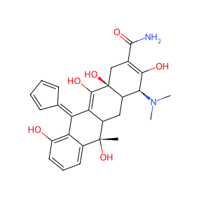 CN(C)[C@@H]1C(O)=C(C(N)=O)C[C@@]2(O)C(O)=C3C(=C4C=CC=C4)c4c(O)cccc4[C@@](C)(O)C3CC12